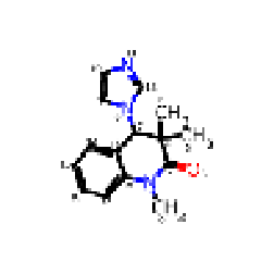 CN1C(=O)C(C)(C)C(n2ccnc2)c2ccccc21